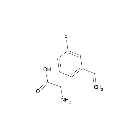 C=Cc1cccc(Br)c1.NCC(=O)O